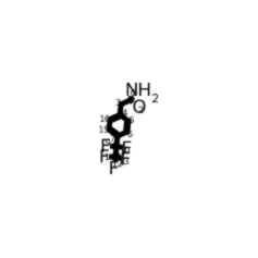 NC(=O)Cc1ccc(C(F)(F)C(F)(F)F)cc1